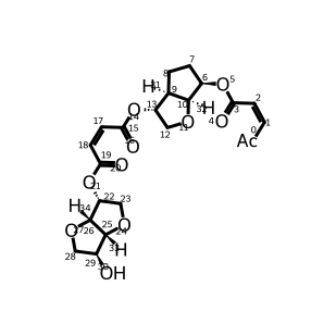 CC(=O)/C=C\C(=O)O[C@@H]1CC[C@H]2[C@@H]1OC[C@@H]2OC(=O)/C=C\C(=O)O[C@@H]1CO[C@H]2[C@@H]1OC[C@@H]2O